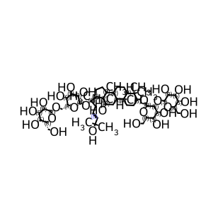 CC(C)(O)/C=C/C[C@](C)(O[C@@H]1O[C@H](CO[C@@H]2O[C@H](CO)[C@@H](O)[C@H](O)[C@H]2O)[C@@H](O)[C@H](O)[C@H]1O)[C@H]1CC[C@]2(C)[C@@H]1[C@H](O)C[C@@H]1[C@@]3(C)CC[C@H](O[C@@H]4O[C@H](CO)[C@@H](O)[C@H](O)[C@H]4O[C@@H]4O[C@H](CO)[C@@H](O)[C@H](O)[C@H]4O)C(C)(C)[C@@H]3CC[C@]12C